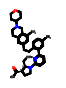 COC[C@@H]1[C@H](C(=O)N=O)CCN1c1cccc(-c2cc(C)ccc2CCc2cc(C)c3c(c2)CCN(C2CCOCC2)C3)n1